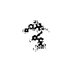 Cc1nc2cnc(N(C)C3CCN(C4CC(F)(F)C4)CC3)c(C#N)c2c(=O)n1CC#Cc1ccc(Cl)cc1-c1ccnc2c(C(N)=O)c(S(C)(=O)=O)sc12